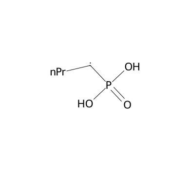 [CH2]CC[CH]P(=O)(O)O